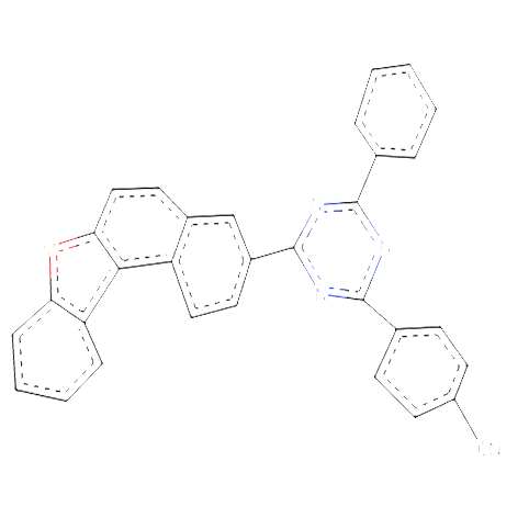 N#Cc1ccc(-c2nc(-c3ccccc3)nc(-c3ccc4c(ccc5oc6ccccc6c54)c3)n2)cc1